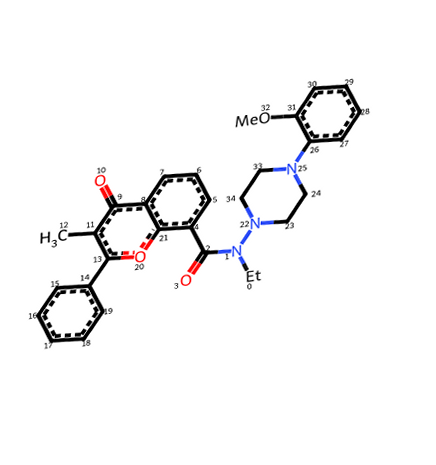 CCN(C(=O)c1cccc2c(=O)c(C)c(-c3ccccc3)oc12)N1CCN(c2ccccc2OC)CC1